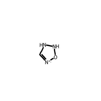 C1=[N+]ONN1